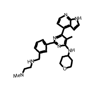 CNCCNCc1cccc(-c2nc(NC3CCOCC3)c(C)c(-c3ccnc4[nH]ccc34)n2)c1